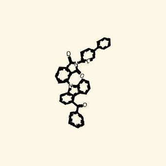 O=C(c1ccccc1)c1cccc2c1c1ccccc1n2-c1cccc2c1C(=O)N(c1ccc(-c3ccccc3)cc1)C2=O